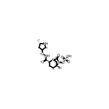 C[C@H]1CC(ONC(=O)[C@@H]2CC[C@@H]3CN2C(=O)N3OS(=O)(=O)O)CN1